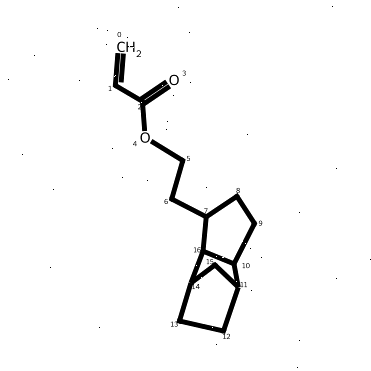 C=CC(=O)OCCC1CCC2C3CCC(C3)C12